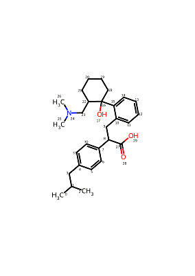 CC(C)Cc1ccc(C(Cc2ccccc2C2(O)CCCCC2CN(C)C)C(=O)O)cc1